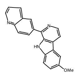 COc1ccc2[nH]c3c(-c4ccc5ncccc5c4)nccc3c2c1